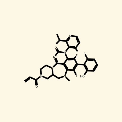 C=CC(=O)N1CCN2c3nc(=O)n(-c4c(C)ccnc4C(C)C)c4c(F)c(-c5c(O)cccc5F)c(F)c(c34)N(C)CC2C1